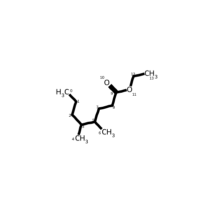 CCCC(C)C(C)CCC(=O)OCC